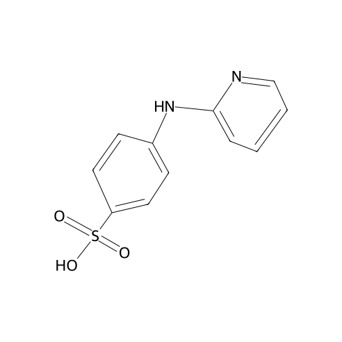 O=S(=O)(O)c1ccc(Nc2ccccn2)cc1